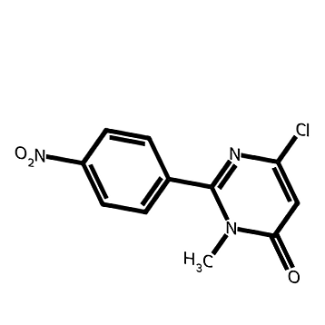 Cn1c(-c2ccc([N+](=O)[O-])cc2)nc(Cl)cc1=O